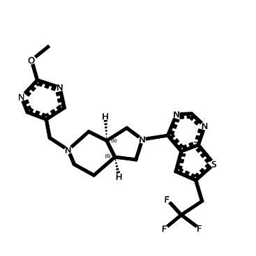 COc1ncc(CN2CC[C@@H]3CN(c4ncnc5sc(CC(F)(F)F)cc45)C[C@@H]3C2)cn1